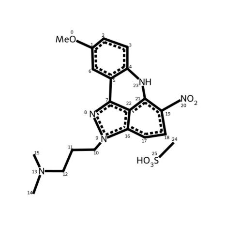 COc1ccc2c(c1)-c1nn(CCCN(C)C)c3ccc([N+](=O)[O-])c(c13)N2.CS(=O)(=O)O